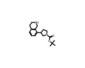 CC(C)(C)OC(=O)N1CCC(c2cccc3c2CNCC3)C1